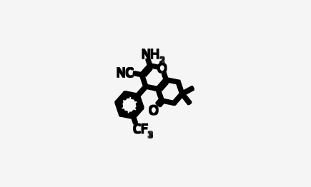 CC1(C)CC(=O)C2=C(C1)OC(N)=C(C#N)C2c1cccc(C(F)(F)F)c1